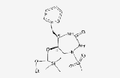 CCOC(O[C@@H]1CN(S(C)(=O)=O)NC(=O)N[C@@H]1Cc1ccccc1)[Si](C)(C)C